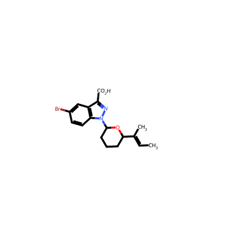 C/C=C(\C)C1CCCC(n2nc(C(=O)O)c3cc(Br)ccc32)O1